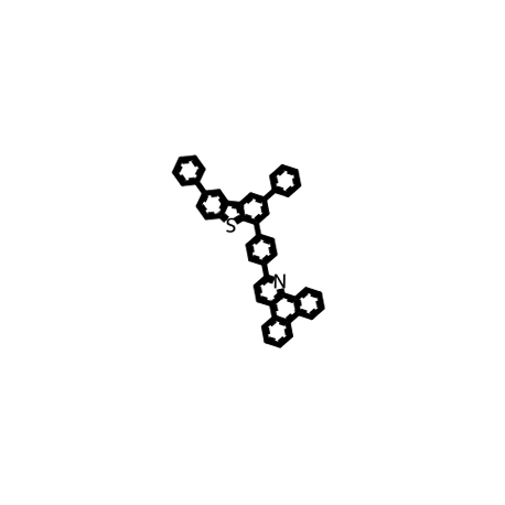 c1ccc(-c2ccc3sc4c(-c5ccc(-c6ccc7c8ccccc8c8ccccc8c7n6)cc5)cc(-c5ccccc5)cc4c3c2)cc1